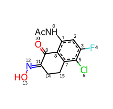 CC(=O)Nc1cc(F)c(Cl)c2c1C(=O)C(=NO)CC2